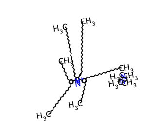 CCCCCCCCCCCCCCCCCCCCCCCC=CC1=C(c2cc(CCCCCCCCCC)cc(CCCCCCCCCCCCCCCCCC)c2)[N+](=[N-])C(c2cc(CCCCCCCCCC)cc(CCCCCCCCCCCCCCCCCC)c2)=C1C#CCCCCCCCCCCCCCCCCCCCCCCCCC.C[N](C)[Pd][N](C)C